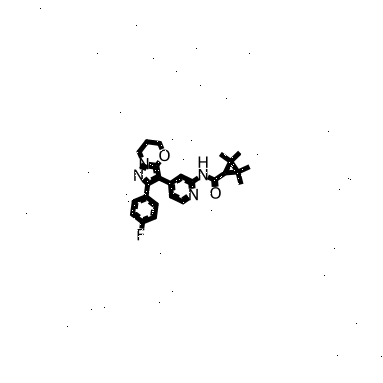 CC1(C)C(C(=O)Nc2cc(-c3c(-c4ccc(F)cc4)nn4c3OCCC4)ccn2)C1(C)C